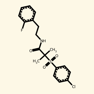 CC(C)(C(=O)NCCc1ccccc1F)S(=O)(=O)c1ccc(Cl)cc1